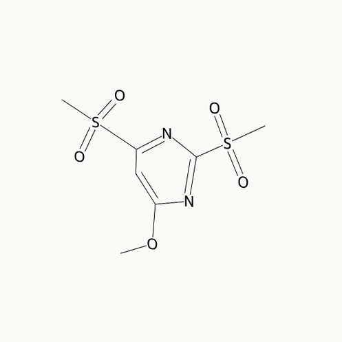 COc1cc(S(C)(=O)=O)nc(S(C)(=O)=O)n1